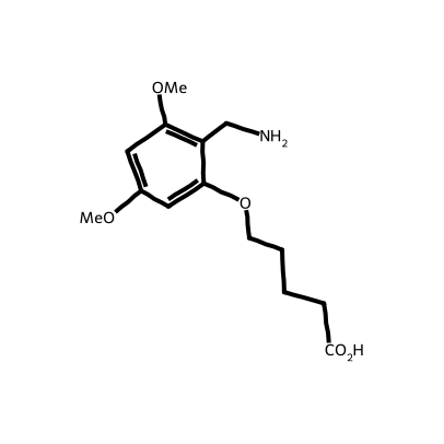 COc1cc(OC)c(CN)c(OCCCCC(=O)O)c1